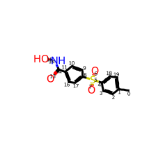 Cc1ccc(S(=O)(=O)c2ccc(C(=O)NO)cc2)cc1